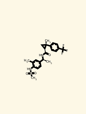 Cc1cc([C@H](C)NC(=O)[C@H]2C[C@]2(C)c2ccc(C(F)(F)F)cc2)ccc1NS(C)(=O)=O